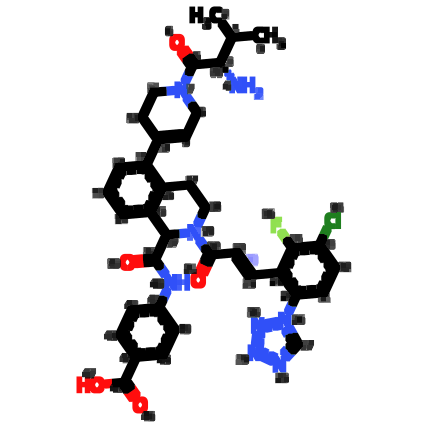 CC(C)[C@H](N)C(=O)N1CC=C(c2cccc3c2CCN(C(=O)/C=C/c2c(-n4cnnn4)ccc(Cl)c2F)C3C(=O)Nc2ccc(C(=O)O)cc2)CC1